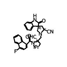 CC(C)C[C@](C=O)(CN1C[C@]2(C[C@H]1C#N)C(=O)Nc1ccccc12)N(C)C(=O)c1ccc(F)c2ccccc12